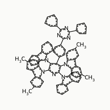 Cc1ccc2c(c1)c1cc(C)ccc1n2-c1nc(-n2c3ccccc3c3ccccc32)c(-n2c3ccc(C)cc3c3cc(C)ccc32)c(-c2ccc(-c3nc(-c4ccccc4)nc(-c4ccccc4)n3)cc2)c1-n1c2ccccc2c2ccccc21